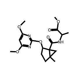 COC(=O)C(C)NC(=O)C12CC1(C)CCC2Oc1nc(OC)cc(OC)n1